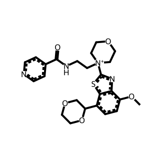 COc1ccc(C2COCCO2)c2sc([N+]3(CCNC(=O)c4ccncc4)CCOCC3)nc12